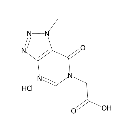 Cl.Cn1nnc2ncn(CC(=O)O)c(=O)c21